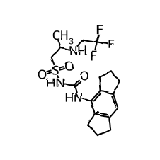 CC(CS(=O)(=O)NC(=O)Nc1c2c(cc3c1CCC3)CCC2)NCC(F)(F)F